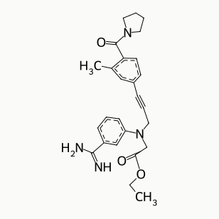 CCOC(=O)CN(CC#Cc1ccc(C(=O)N2CCCC2)c(C)c1)c1cccc(C(=N)N)c1